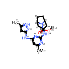 COc1cc(Nc2cc(C)[nH]n2)nc(NC2CC3CCC(C2)N3C(=O)OC(C)(C)C)n1